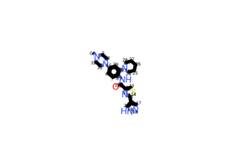 CN1CCN(c2ccc(NC(=O)c3csc(-c4cn[nH]c4)n3)c(N3CCCCC3)c2)CC1